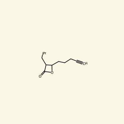 C#CCCCC1OC(=O)C1CC(C)C